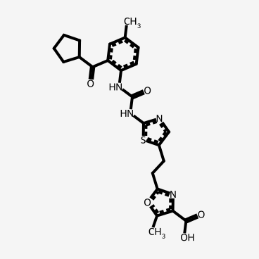 Cc1ccc(NC(=O)Nc2ncc(CCc3nc(C(=O)O)c(C)o3)s2)c(C(=O)C2CCCC2)c1